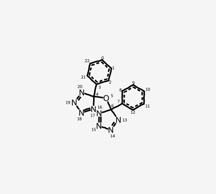 c1ccc(C2(OC3(c4ccccc4)N=NN=N3)N=NN=N2)cc1